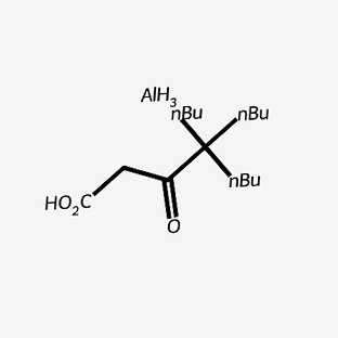 CCCCC(CCCC)(CCCC)C(=O)CC(=O)O.[AlH3]